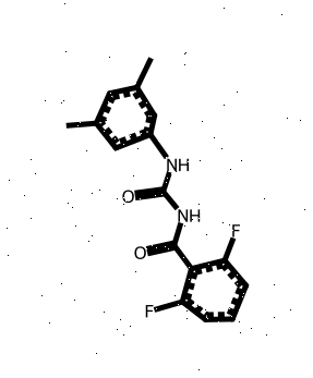 Cc1cc(C)cc(NC(=O)NC(=O)c2c(F)cccc2F)c1